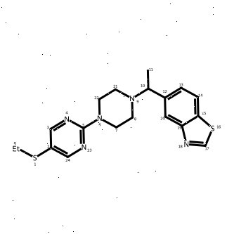 CCSc1cnc(N2CCN(C(C)c3ccc4scnc4c3)CC2)nc1